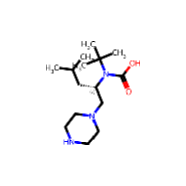 CC(C)C[C@@H](CN1CCNCC1)N(C(=O)O)C(C)(C)C